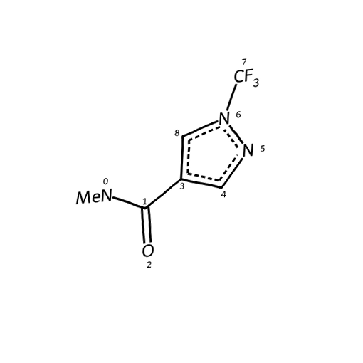 CNC(=O)c1cnn(C(F)(F)F)c1